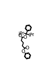 CC(C)C(OC(=O)CCCC(=O)Oc1ccccc1)(c1ccccc1)C(C)C